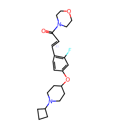 O=C(/C=C/c1ccc(OC2CCN(C3CCC3)CC2)cc1F)N1CCOCC1